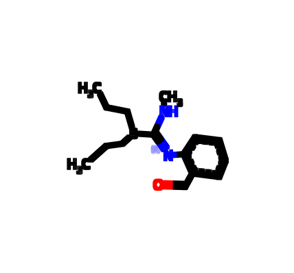 CCCB(CCC)/C(=N/c1ccccc1C=O)NC